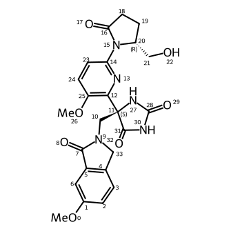 COc1ccc2c(c1)C(=O)N(C[C@@]1(c3nc(N4C(=O)CC[C@@H]4CO)ccc3OC)NC(=O)NC1=O)C2